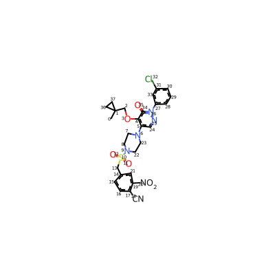 CC1(COc2c(N3CCN(S(=O)(=O)Cc4ccc(C#N)c([N+](=O)[O-])c4)CC3)cnn(-c3cccc(Cl)c3)c2=O)CC1